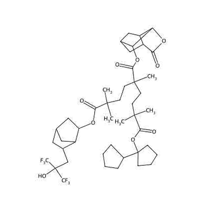 CC(C)(CCC(C)(CCC(C)(C)C(=O)OC1(C2CCCC2)CCCC1)C(=O)OC1C2CC3C(=O)OC1C3C2)C(=O)OC1CC2CC(CC(O)(C(F)(F)F)C(F)(F)F)C1C2